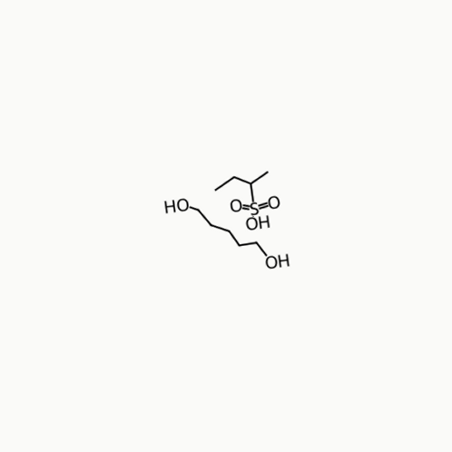 CCC(C)S(=O)(=O)O.OCCCCCO